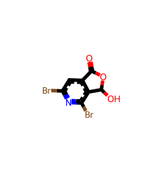 O=C1OC(O)c2c1cc(Br)nc2Br